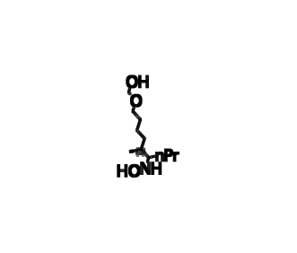 CCCC(NO)[C@@H](C)CCCCOCO